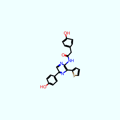 O=C(Cc1ccc(O)cc1)Nc1ncc(-c2ccc(O)cc2)nc1-c1cccs1